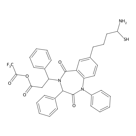 NC(S)CCCc1ccc2c(c1)C(=O)N(C(CC(=O)OC(=O)C(F)(F)F)c1ccccc1)C(c1ccccc1)C(=O)N2c1ccccc1